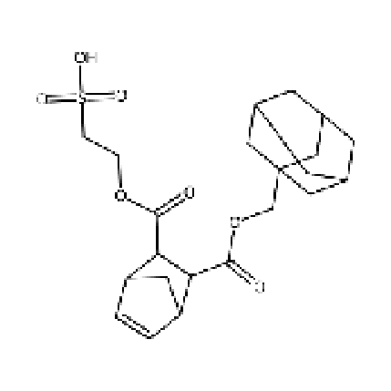 O=C(OCCS(=O)(=O)O)C1C2C=CC(C2)C1C(=O)OCC12CC3CC(CC(C3)C1)C2